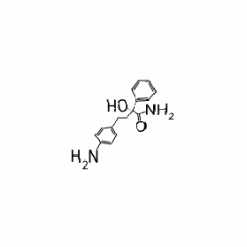 NC(=O)[C@@](O)(CCc1ccc(N)cc1)c1ccccc1